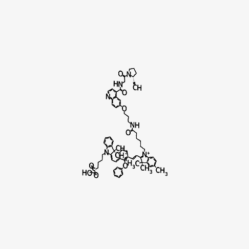 C#C[C@H]1CCCN1C(=O)CNC(=O)c1ccnc2ccc(OCCCNC(=O)CCCCC[N+]3=C(/C=C/C4=C(Oc5ccccc5)C(=C/C=C5/N(CCCCS(=O)(=O)O)c6ccccc6C5(C)C)/CCC4)C(C)(C)c4cc(C)ccc43)cc12